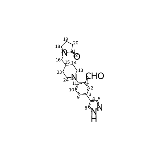 O=Cc1cc(-c2cn[nH]c2)ccc1N1CCC(CN2CCCC2=O)CC1